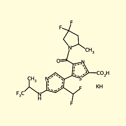 CC1CC(F)(F)CN1C(=O)c1nc(C(=O)O)sc1-c1cnc(NC(C)C(F)(F)F)cc1C(F)F.[KH]